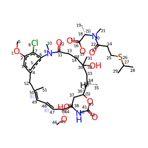 COc1cc2cc(c1Cl)N(C)C(=O)C[C@H](OC(=O)[C@H](C)N(C)C(=O)CCSC(C)C)C(C)(O)C[C@H](C)[C@@H]1C[C@@](O)(NC(=O)O1)[C@H](OC)/C=C/C=C(\C)C2